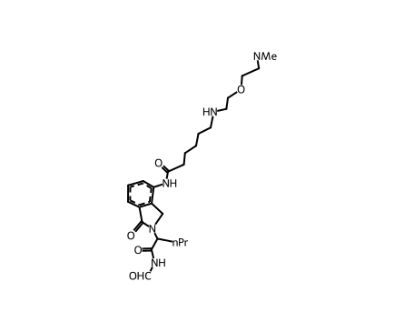 CCCC(C(=O)NC=O)N1Cc2c(NC(=O)CCCCCNCCOCCNC)cccc2C1=O